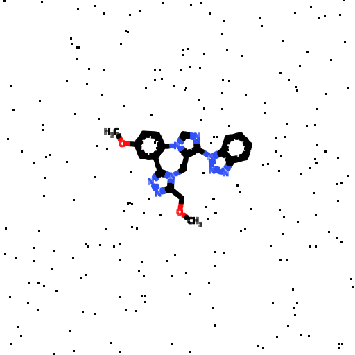 COCc1nnc2n1Cc1c(-n3nnc4ccccc43)ncn1-c1ccc(OC)cc1-2